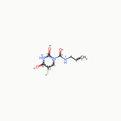 C=CCNC(=O)n1cc(F)c(=O)[nH]c1=O